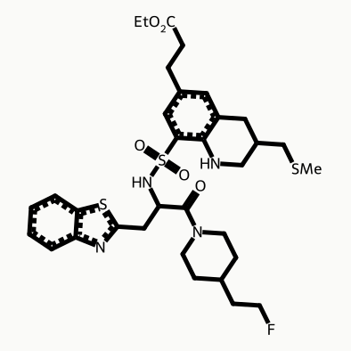 CCOC(=O)CCc1cc2c(c(S(=O)(=O)NC(Cc3nc4ccccc4s3)C(=O)N3CCC(CCF)CC3)c1)NCC(CSC)C2